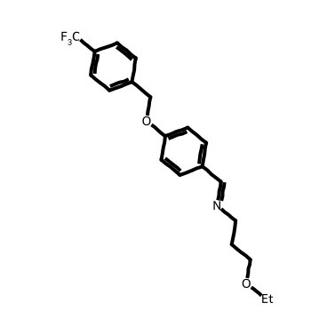 CCOCCCN=Cc1ccc(OCc2ccc(C(F)(F)F)cc2)cc1